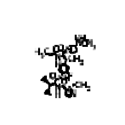 CCC(=O)N[C@@H](C(=O)N1CC[C@@H](N(C)C)C1)[C@@H](C)c1ccc(NC(=O)[C@@H](NC(=O)c2ccnn2CC)C(C2CC2)C2CC2)c(F)c1